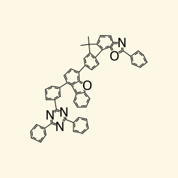 CC1(C)c2cc(-c3ccc(-c4cccc(-c5nc(-c6ccccc6)nc(-c6ccccc6)n5)c4)c4c3oc3ccccc34)ccc2-c2c1ccc1nc(-c3ccccc3)oc21